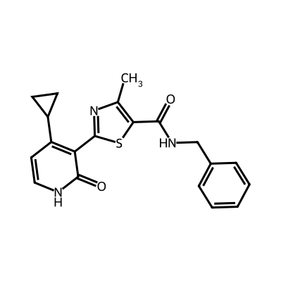 Cc1nc(-c2c(C3CC3)cc[nH]c2=O)sc1C(=O)NCc1ccccc1